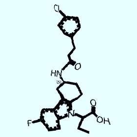 CCC(C(=O)O)n1c2c(c3cc(F)ccc31)C[C@@H](NC(=O)CCc1ccc(Cl)cc1)CC2